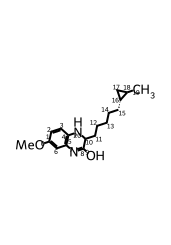 COc1ccc2c(c1)N=C(O)C(CCCCC[C@@H]1CC1C)N2